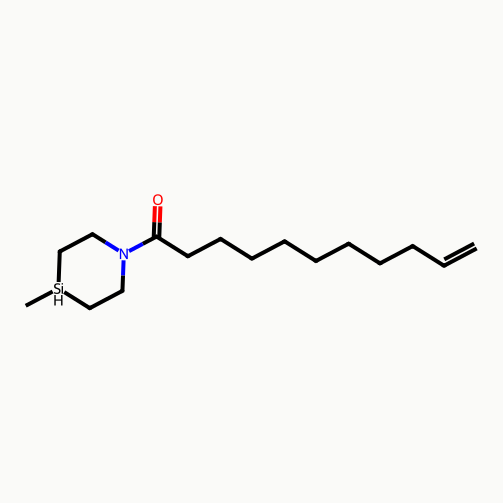 C=CCCCCCCCCC(=O)N1CC[SiH](C)CC1